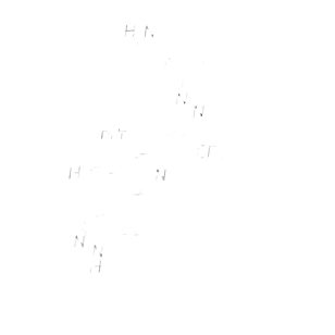 CCCc1c(-c2cn(-c3cccc(N)c3)nc2C(F)(F)F)nc2ccc3[nH]ncc3c2c1C